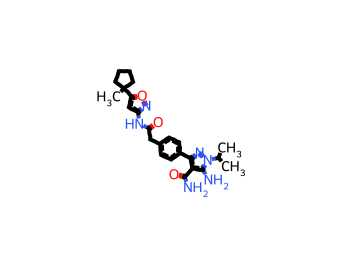 CC(C)n1nc(-c2ccc(CC(=O)Nc3cc(C4(C)CCCC4)on3)cc2)c(C(N)=O)c1N